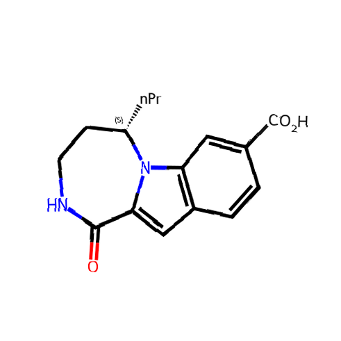 CCC[C@H]1CCNC(=O)c2cc3ccc(C(=O)O)cc3n21